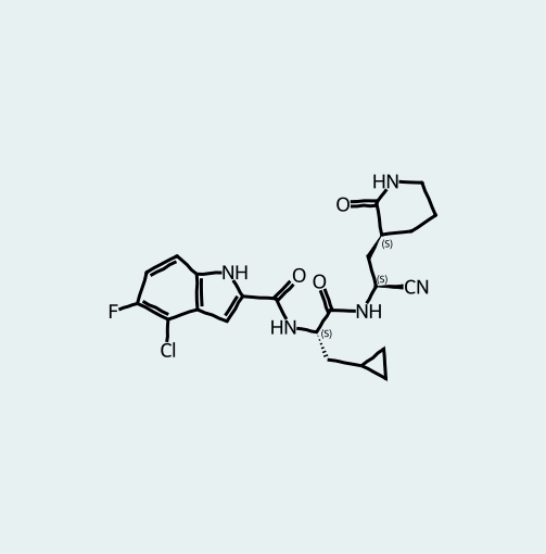 N#C[C@H](C[C@@H]1CCCNC1=O)NC(=O)[C@H](CC1CC1)NC(=O)c1cc2c(Cl)c(F)ccc2[nH]1